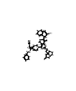 N#CC[C@@H]1CC2CN(c3nc(OCC45CCCN4CC(F)C5)nc4c(F)c(-c5cc(O)cc6ccccc56)ncc34)CC1N2C(=O)OCc1ccccc1